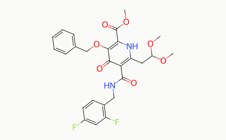 COC(=O)c1[nH]c(CC(OC)OC)c(C(=O)NCc2ccc(F)cc2F)c(=O)c1OCc1ccccc1